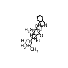 CCn1c(N(C)CC(C)N)nc2c1c(=O)n(Cc1ncc3ccccc3n1)c(=O)n2C